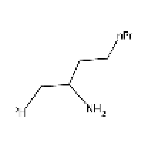 [2H]CC(N)CCCCC